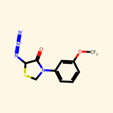 [N-]=[N+]=NC1SCN(c2cccc(OC(F)(F)F)c2)C1=O